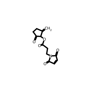 C=C1CCC(=O)C1OC(=O)CCN1C(=O)C=CC1=O